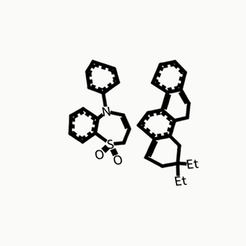 CCC1(CC)CC=c2ccc3c(c2C1)CC=c1ccccc1=3.O=S1(=O)CC=CN(c2ccccc2)c2ccccc21